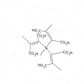 C/C(C(=O)O)=C(\C(=O)O)[Si](C)(/C(C(=O)O)=C(/C)C(=O)O)/C(C(=O)O)=C(/C)C(=O)O